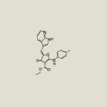 CCOC(=O)C1=C(Nc2ccc(C)cc2)O/C(=C\c2c[nH]c3ncccc23)C1=O